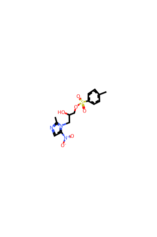 Cc1ccc(S(=O)(=O)OCC(O)Cn2c([N+](=O)[O-])cnc2C)cc1